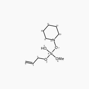 C=CCO[Si](O)(OC)ON1CCCCC1